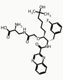 CC(C)(O)CCCC[C@H](O[CH]C(=O)NC[C@H](N)C(=O)O)[C@H](Cc1cccc(F)c1)NC(=O)c1cnc2ccccc2n1